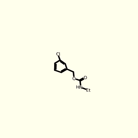 CCNC(=O)OCc1cccc(Cl)c1